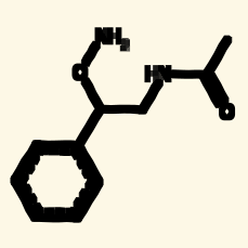 CC(=O)NCC(ON)c1ccccc1